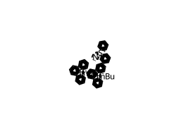 CCCC[B-](c1ccccc1)(c1ccccc1)c1ccccc1.CCCC[B-](c1ccccc1)(c1ccccc1)c1ccccc1.C[N+](C)(C)C[S+](c1ccccc1)c1ccccc1